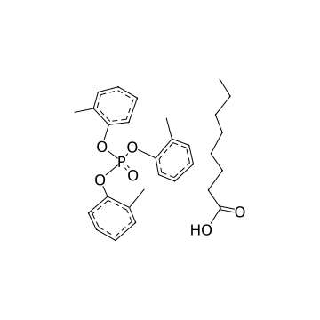 CCCCCCCC(=O)O.Cc1ccccc1OP(=O)(Oc1ccccc1C)Oc1ccccc1C